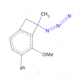 COc1c(C(C)C)ccc2c1C(C)(N=[N+]=[N-])C2